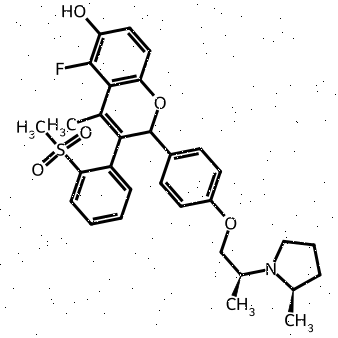 CC1=C(c2ccccc2S(C)(=O)=O)C(c2ccc(OC[C@H](C)N3CCC[C@H]3C)cc2)Oc2ccc(O)c(F)c21